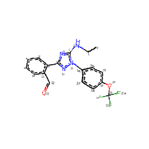 CCNc1nc(-c2ccccc2C=O)nn1-c1ccc(OC(F)(F)F)cc1